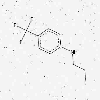 CCCNc1ccc(C(F)(F)F)cc1